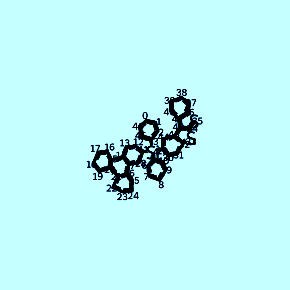 c1ccc([Si](c2ccccc2)(c2ccc3c4ccccc4c4ccccc4c3c2)c2ccc3sc4sc5ccccc5c4c3c2)cc1